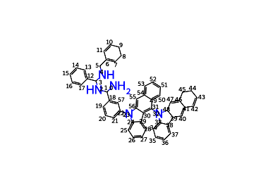 NC(NC(NCC1=CCCC=C1)c1ccccc1)c1cccc(-n2c3ccccc3c3c(N4c5ccccc5C5C=C6C=CCCC6=CC54)c4ccccc4cc32)c1